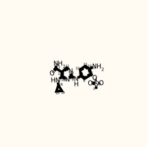 CS(=O)(=O)Oc1cc(Nc2ncc(C(N)=O)c(NC3CC3)n2)ccc1N